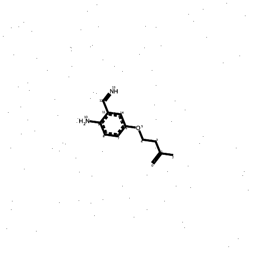 C=C(C)CCOc1ccc(N)c(C=N)c1